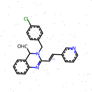 O=CC1c2ccccc2N=C(/C=C/c2cccnc2)N1Cc1ccc(Cl)cc1